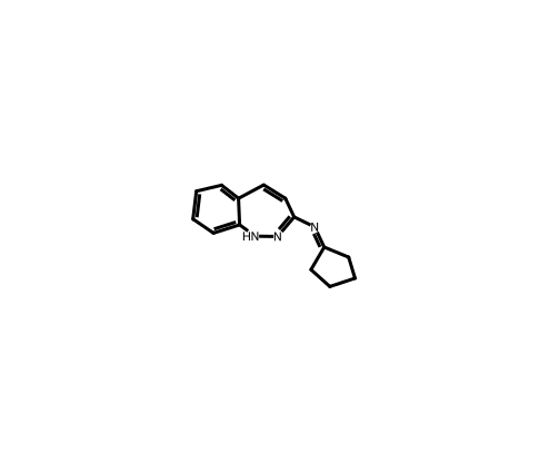 C1=Cc2ccccc2NN=C1N=C1CCCC1